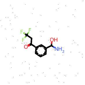 NC(O)c1cccc(C(=O)CC(F)(F)F)c1